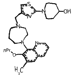 CCCOc1c(C)cc2cccnc2c1N1CCCN(Cc2csc(N3CCC(O)CC3)n2)CC1